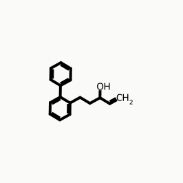 C=CC(O)CCc1ccccc1-c1ccccc1